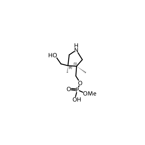 COP(=O)(O)OC[C@]1(C)CNC[C@]1(C)CO